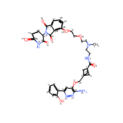 CN(CCNC(=O)C12CC(COc3cc(-c4ccccc4O)nnc3N)(C1)C2)CCOCCOc1cccc2c1C(=O)N(C1CCC(=O)NC1=O)C2=O